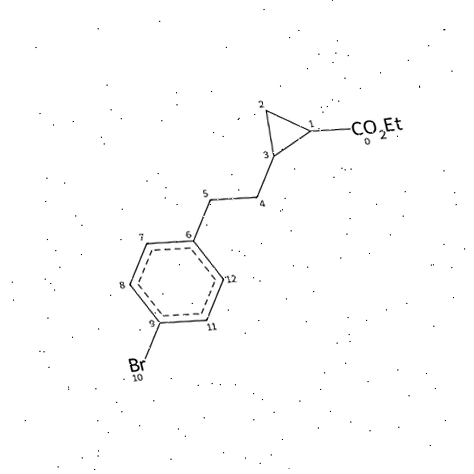 CCOC(=O)C1CC1CCc1ccc(Br)cc1